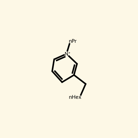 CCCCCCCc1ccc[n+](CCC)c1